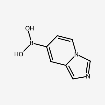 OB(O)c1ccn2cncc2c1